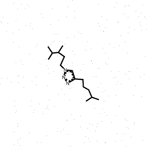 CC(C)CCCc1cn(CCC(C)C(C)C)nn1